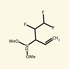 C=CC(C(F)C(F)F)[SiH](OC)OC